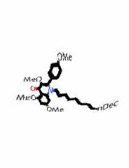 CCCCCCCCCCCCCCCCCCn1c(-c2ccc(OC)cc2)c(OC)c(=O)c2c(OC)cc(OC)cc21